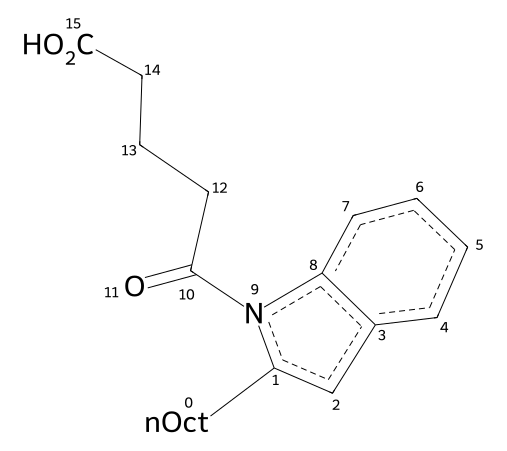 CCCCCCCCc1cc2ccccc2n1C(=O)CCCC(=O)O